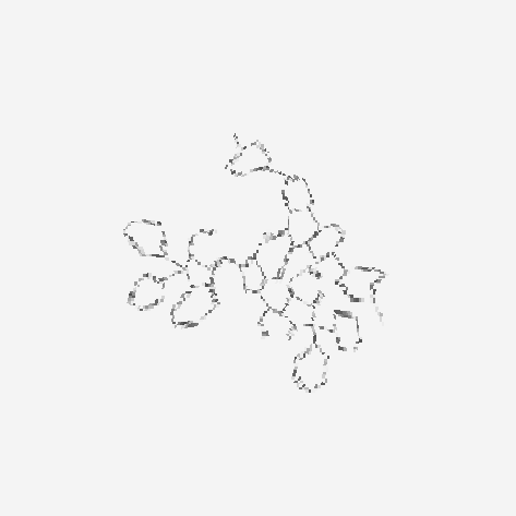 Cc1ccc(-c2ccc3c4ccc(-c5ccc(C)cc5)cc4c4nc5c(-c6cccc7c6-c6ccccc6C7(c6ccccc6)c6ccccc6)sc(-c6cccc7c6-c6ccccc6C7(c6ccccc6)c6ccccc6)c5nc4c3c2)cc1